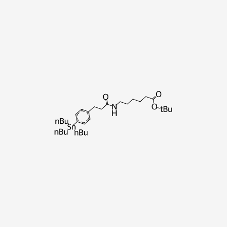 CCC[CH2][Sn]([CH2]CCC)([CH2]CCC)[c]1ccc(CCC(=O)NCCCCCC(=O)OC(C)(C)C)cc1